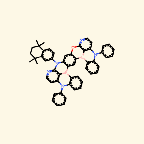 CC1(C)CCC(C)(C)c2cc(N3c4cc5c(cc4B4c6ccccc6N(c6ccccc6)c6ccnc3c64)B3c4ccccc4N(c4ccccc4)c4ccnc(c43)O5)ccc21